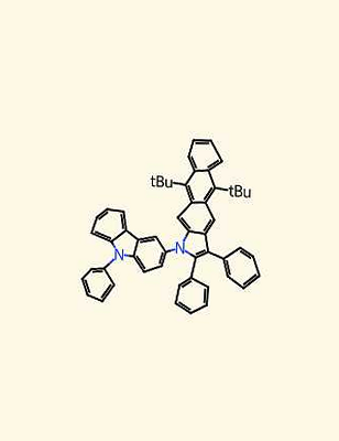 CC(C)(C)c1c2ccccc2c(C(C)(C)C)c2cc3c(cc12)c(-c1ccccc1)c(-c1ccccc1)n3-c1ccc2c(c1)c1ccccc1n2-c1ccccc1